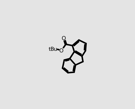 CC(C)(C)OC(=O)c1cccc2c1-c1ccccc1C2